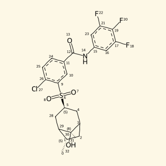 C[C@H]1CC2C[C@H](S(=O)(=O)c3cc(C(=O)Nc4cc(F)c(F)c(F)c4)ccc3Cl)CC1[C@]2(C)O